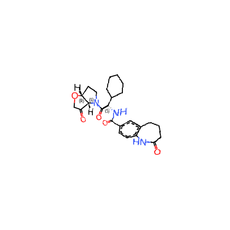 O=C1CCCc2cc(C(=O)N[C@H](C(=O)N3CC[C@H]4OCC(=O)[C@H]43)C3CCCCC3)ccc2N1